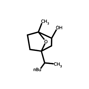 CCCCC(C)C12CCC(C)(O1)C(O)C2